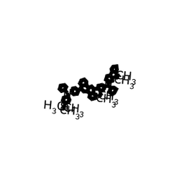 CC1(C)c2ccccc2-c2ccc(N(c3ccccc3)c3ccc4c(c3)[Si](C)(C)c3cccc5c3c-4cc3c4ccccc4c(-c4ccc(N(c6ccccc6)c6ccc([Si](C)(C)C)cc6)cc4)cc53)cc21